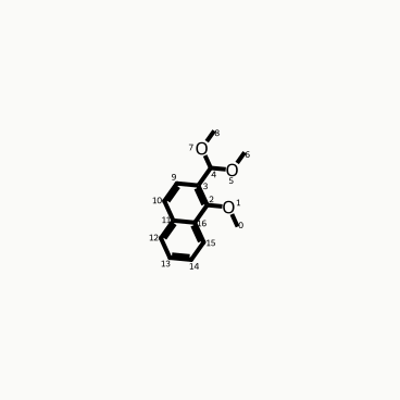 COc1c(C(OC)OC)ccc2ccccc12